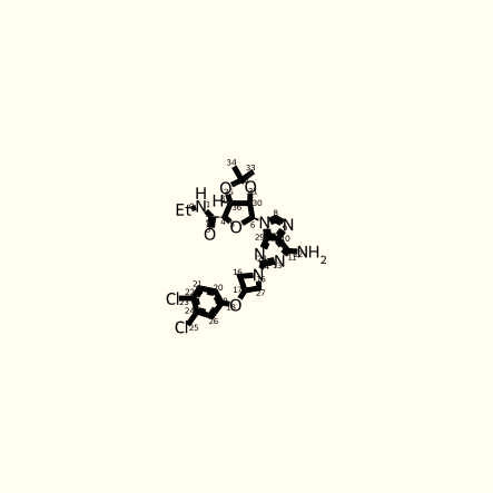 CCNC(=O)[C@H]1O[C@@H](n2cnc3c(N)nc(N4CC(Oc5ccc(Cl)c(Cl)c5)C4)nc32)C2OC(C)(C)O[C@@H]21